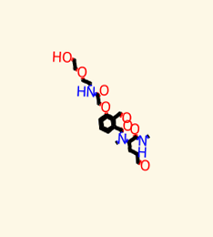 CNC(=O)C(CCC=O)N(C)C(=O)c1cccc(OCC(=O)NCCOCCO)c1C=O